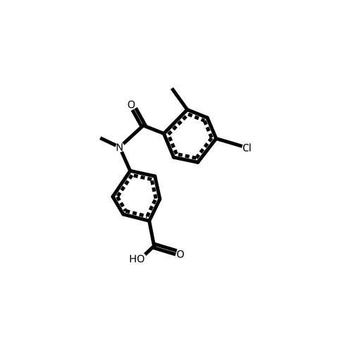 Cc1cc(Cl)ccc1C(=O)N(C)c1ccc(C(=O)O)cc1